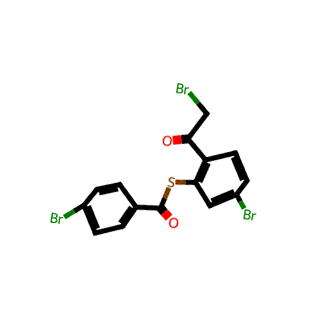 O=C(Sc1cc(Br)ccc1C(=O)CBr)c1ccc(Br)cc1